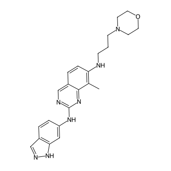 Cc1c(NCCCN2CCOCC2)ccc2cnc(Nc3ccc4cn[nH]c4c3)nc12